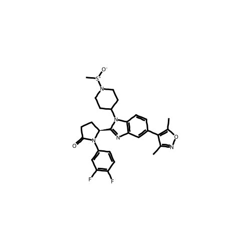 Cc1noc(C)c1-c1ccc2c(c1)nc([C@@H]1CCC(=O)N1c1ccc(F)c(F)c1)n2C1CCN([S+](C)[O-])CC1